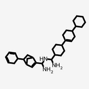 NC(NC(N)C1CCC(C2=CCC(C3CCCCC3)CC2)CC1)C1=CC2CC1CC2C1C=CC=CC1